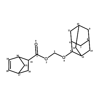 O=C(OCOC1C2CC3CC(C2)CC1C3)C1CC2C=CC1C2